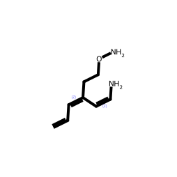 C=C/C=C(\C=C/N)CCON